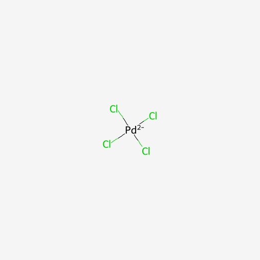 [Cl][Pd-2]([Cl])([Cl])[Cl]